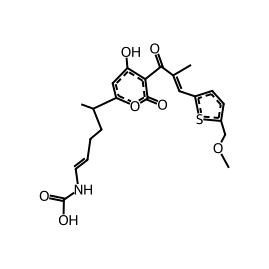 COCc1ccc(C=C(C)C(=O)c2c(O)cc(C(C)CCC=CNC(=O)O)oc2=O)s1